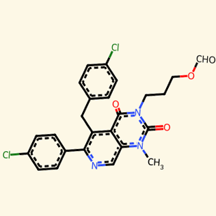 Cn1c(=O)n(CCCOC=O)c(=O)c2c(Cc3ccc(Cl)cc3)c(-c3ccc(Cl)cc3)ncc21